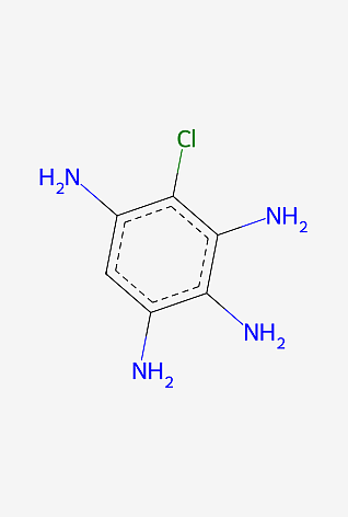 Nc1cc(N)c(Cl)c(N)c1N